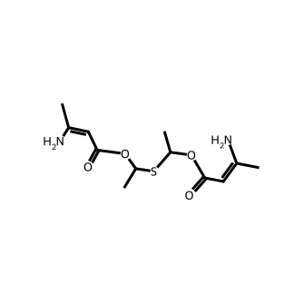 C/C(N)=C/C(=O)OC(C)SC(C)OC(=O)/C=C(/C)N